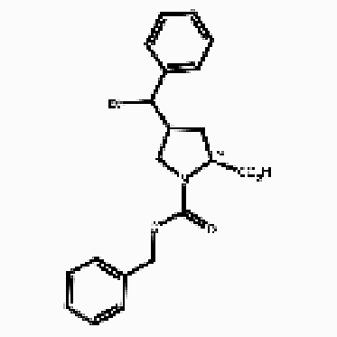 CCC(c1ccccc1)C1C[C@@H](C(=O)O)N(C(=O)OCc2ccccc2)C1